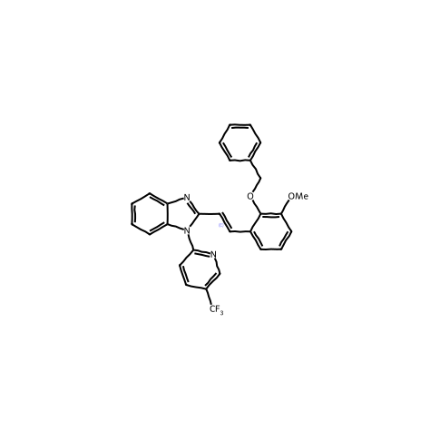 COc1cccc(/C=C/c2nc3ccccc3n2-c2ccc(C(F)(F)F)cn2)c1OCc1ccccc1